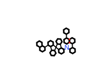 c1ccc(-c2ccc(N(c3ccccc3-c3ccccc3)c3cccc4c3-c3ccccc3C43c4ccccc4-c4c(-c5cccc6ccccc56)cccc43)cc2)cc1